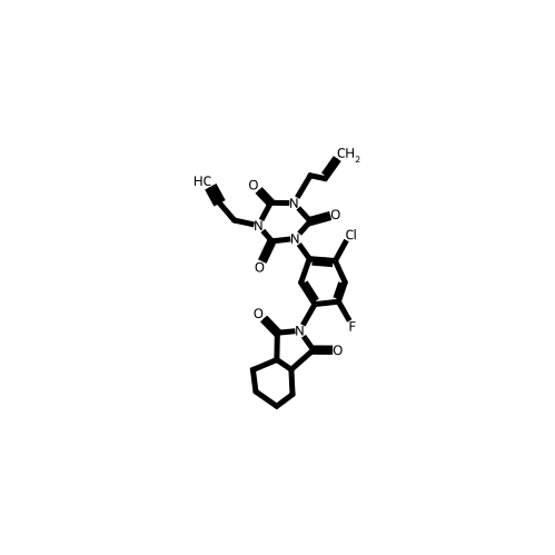 C#CCn1c(=O)n(CC=C)c(=O)n(-c2cc(N3C(=O)C4CCCCC4C3=O)c(F)cc2Cl)c1=O